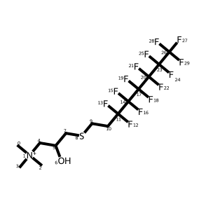 C[N+](C)(C)CC(O)CSCCC(F)(F)C(F)(F)C(F)(F)C(F)(F)C(F)(F)C(F)(F)F